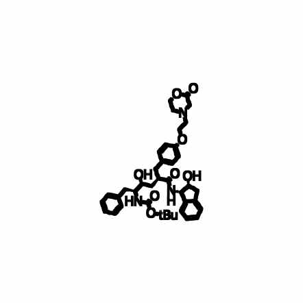 CC(C)(C)OC(=O)N[C@@H](Cc1ccccc1)[C@@H](O)C[C@@H](Cc1ccc(OCCN2CCOC(=O)C2)cc1)C(=O)N[C@H]1c2ccccc2C[C@H]1O